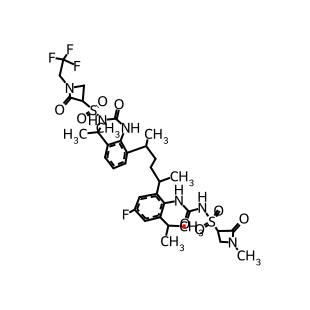 CC(C)c1cc(F)cc(C(C)CCC(C)c2cccc(C(C)C)c2NC(=O)NS(=O)(=O)C2CN(CC(F)(F)F)C2=O)c1NC(=O)NS(=O)(=O)C1CN(C)C1=O